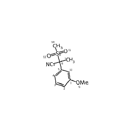 COc1cccc(C(C)(C#N)S(C)(=O)=O)c1